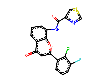 O=C(Nc1cccc2c(=O)cc(-c3cccc(F)c3Cl)oc12)c1cscn1